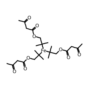 CC(=O)CC(=O)OC[C](C)(C)[Fe]([C](C)(C)COC(=O)CC(C)=O)[C](C)(C)COC(=O)CC(C)=O